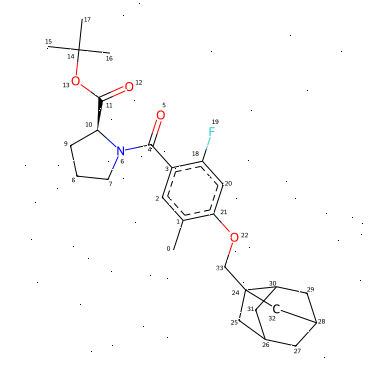 Cc1cc(C(=O)N2CCC[C@H]2C(=O)OC(C)(C)C)c(F)cc1OCC12CC3CC(CC1C3)C2